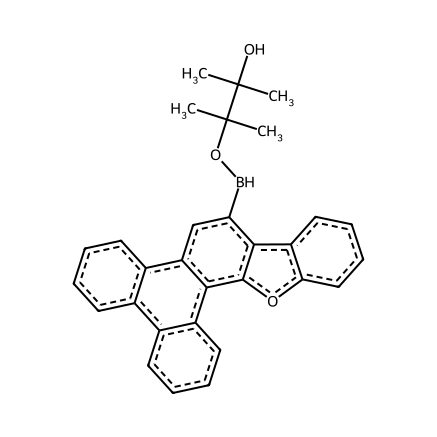 CC(C)(O)C(C)(C)OBc1cc2c3ccccc3c3ccccc3c2c2oc3ccccc3c12